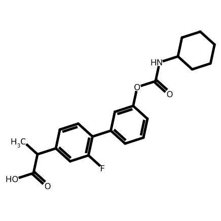 CC(C(=O)O)c1ccc(-c2cccc(OC(=O)NC3CCCCC3)c2)c(F)c1